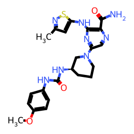 COc1ccc(NC(=O)N[C@@H]2CCCN(c3cnc(C(N)=O)c(Nc4cc(C)ns4)n3)C2)cc1